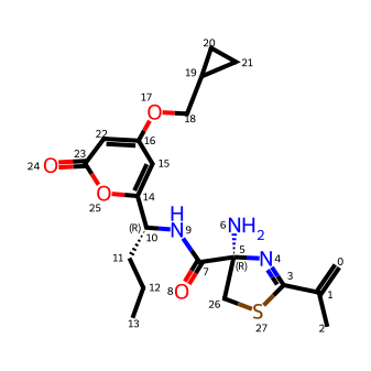 C=C(C)C1=N[C@](N)(C(=O)N[C@H](CCC)c2cc(OCC3CC3)cc(=O)o2)CS1